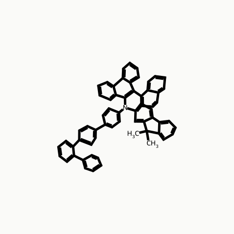 CC1(C)c2ccccc2-c2ccc(N(c3ccc(-c4ccc(-c5ccccc5-c5ccccc5)cc4)cc3)c3c(-c4cccc5ccccc45)c4ccccc4c4ccccc34)cc21